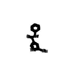 CC(C)(C)c1cc(C(=O)Nc2ccccc2)c[nH]1